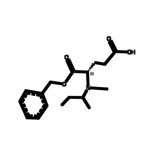 CCC(C)N(C)[C@@H](CCC(=O)O)C(=O)OCc1ccccc1